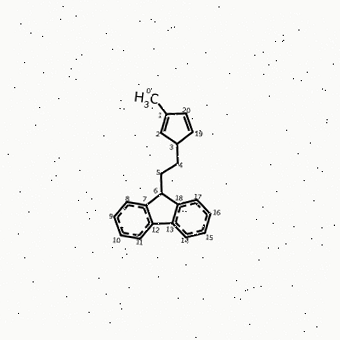 CC1=CC(CCC2c3ccccc3-c3ccccc32)C=C1